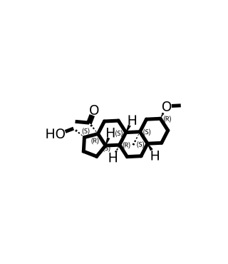 CO[C@@H]1CC[C@@H]2CC[C@@H]3[C@H](CC[C@]4(C(C)=O)[C@@H](CO)CC[C@@H]34)[C@@]2(C)C1